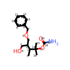 CC(C(CO)COCc1ccccc1)C(C)(C)OC(N)=O